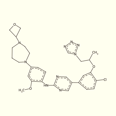 COc1cc(N2CCCN(C3COC3)CC2)ccc1Nc1ncc(-c2ccc(Cl)c(OC(C)Cn3cnnn3)c2)cn1